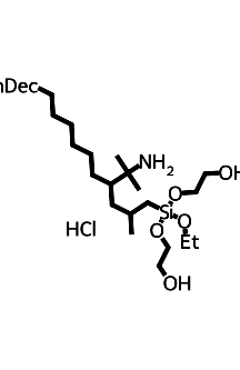 CCCCCCCCCCCCCCCCC(CC(C)C[Si](OCC)(OCCO)OCCO)C(C)(C)N.Cl